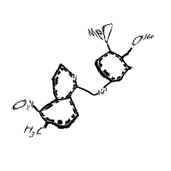 COc1ccc(Nc2nccc3c([N+](=O)[O-])c(C)ccc23)cc1OC